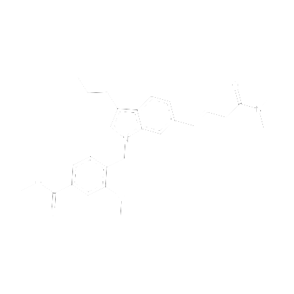 CCCc1cn(Cc2ccc(C(=O)OC)cc2OC)c2cc(/C=C/CC(=O)N(C)C)ccc12